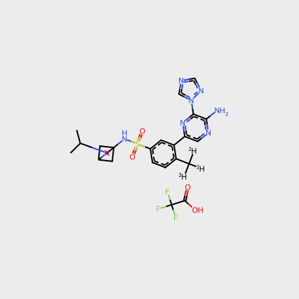 O=C(O)C(F)(F)F.[2H]C([2H])([2H])c1ccc(S(=O)(=O)NC23CC(C2)N(C(C)C)C3)cc1-c1cnc(N)c(-n2cncn2)n1